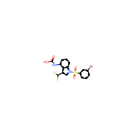 O=C(O)Nc1cccc2c1c(C(F)F)cn2S(=O)(=O)c1cccc(Br)c1